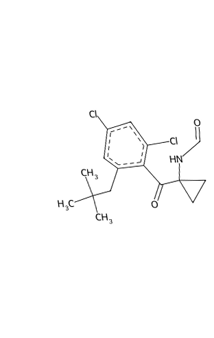 CC(C)(C)Cc1cc(Cl)cc(Cl)c1C(=O)C1(NC=O)CC1